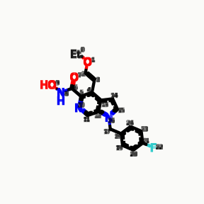 CCO/C=C/c1c(C(=O)NO)ncc2c1ccn2Cc1ccc(F)cc1